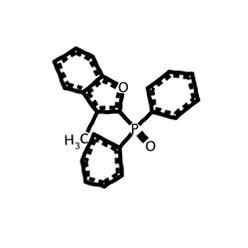 Cc1c(P(=O)(c2ccccc2)c2ccccc2)oc2ccccc12